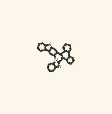 c1ccc2c(c1)nc1c3c4ccccc4c4ccccc4c3c3cc4sc5ccccc5c4cc3n21